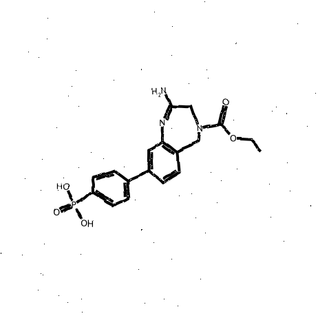 CCOC(=O)N1CC(N)=Nc2cc(-c3ccc(P(=O)(O)O)cc3)ccc2C1